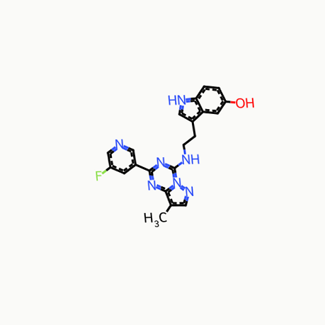 Cc1cnn2c(NCCc3c[nH]c4ccc(O)cc34)nc(-c3cncc(F)c3)nc12